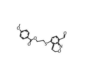 COc1ccc(C(=O)OCCSc2ccc(C=O)c3c2=CCON=3)cc1